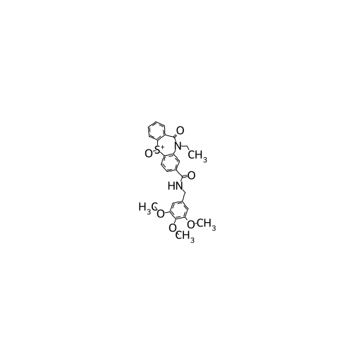 CCN1C(=O)c2ccccc2[S+]([O-])c2ccc(C(=O)NCc3cc(OC)c(OC)c(OC)c3)cc21